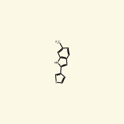 FC(F)(F)c1ccc2cc(-c3ccsc3)[nH]c2c1